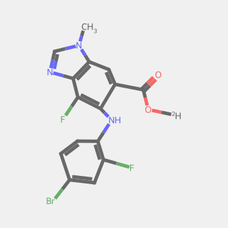 [2H]OC(=O)c1cc2c(ncn2C)c(F)c1Nc1ccc(Br)cc1F